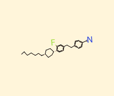 CCCCCCC[C@H]1CC[C@H](c2ccc(CCc3ccc(C#N)cc3)cc2F)CC1